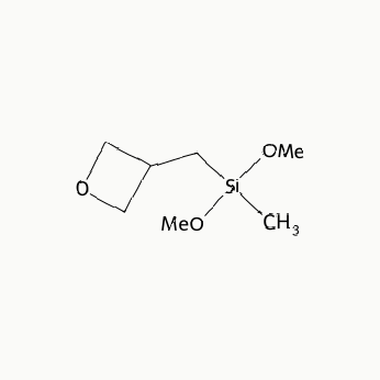 CO[Si](C)(CC1COC1)OC